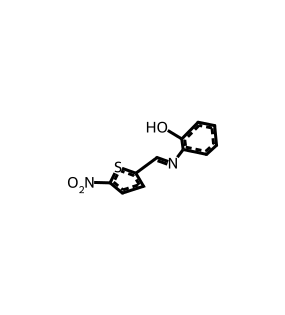 O=[N+]([O-])c1ccc(/C=N/c2ccccc2O)s1